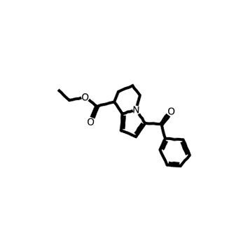 CCOC(=O)C1CCCn2c(C(=O)c3ccccc3)ccc21